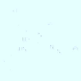 CC(C)c1cc2n(n1)CC(C)(C(=O)NC1CCCCC1)N(c1ccc(Cl)cc1)C2=O